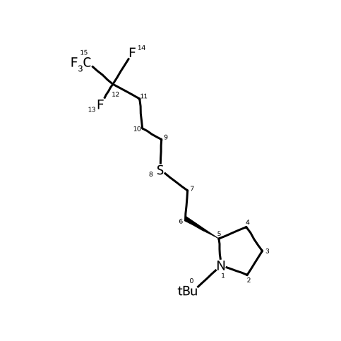 CC(C)(C)N1CCC[C@@H]1CCSCCCC(F)(F)C(F)(F)F